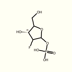 O=P(O)(O)OC1OC(CO)[C@@H](O)C1F